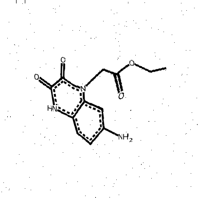 CCOC(=O)Cn1c(=O)c(=O)[nH]c2ccc(N)cc21